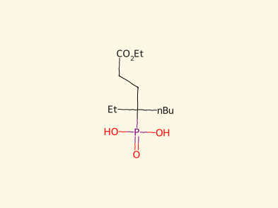 CCCCC(CC)(CCC(=O)OCC)P(=O)(O)O